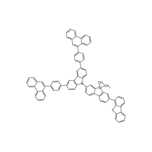 C[Si]1(C)c2cc(-c3cccc4c3sc3ccccc34)ccc2-c2ccc(-n3c4ccc(-c5ccc(-c6cc7ccccc7c7ccccc67)cc5)cc4c4cc(-c5ccc(-c6cc7ccccc7c7ccccc67)cc5)ccc43)cc21